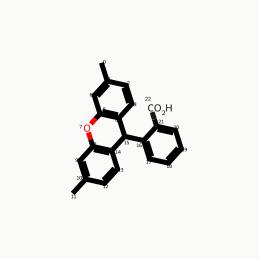 Cc1ccc2c(c1)Oc1cc(C)ccc1C2c1ccccc1C(=O)O